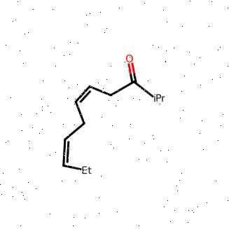 CC/C=C\C/C=C\CC(=O)C(C)C